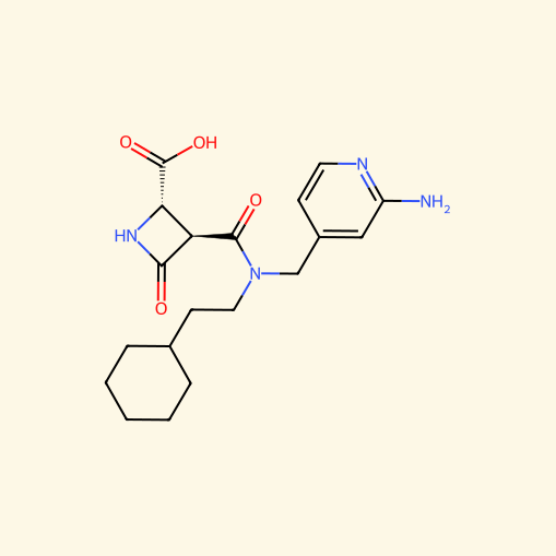 Nc1cc(CN(CCC2CCCCC2)C(=O)[C@H]2C(=O)N[C@@H]2C(=O)O)ccn1